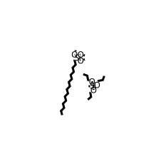 CCCCCCCCCCCCCCCC[Si](OC)(OC)OC.CCCO[Si](C)(OCCC)OCCC